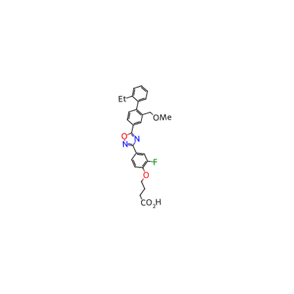 CCc1ccccc1-c1ccc(-c2nc(-c3ccc(OCCCC(=O)O)c(F)c3)no2)cc1COC